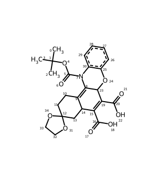 CC(C)(C)OC(=O)N1C2=C3CCC4(CC3C(C(=O)O)=C(C(=O)O)C2Oc2ccccc21)OCCO4